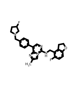 Cc1cn2c(NCc3c(F)ccc4c3CCO4)ncc(-c3ccc(CN4CCC(F)C4)cc3)c2n1